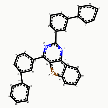 c1ccc(-c2cccc(-c3nc(-c4cccc(-c5ccccc5)c4)c4sc5ccccc5c4n3)c2)cc1